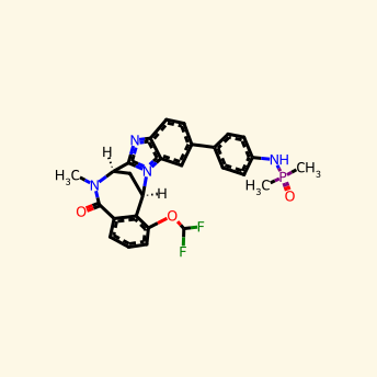 CN1C(=O)c2cccc(OC(F)F)c2[C@H]2C[C@@H]1c1nc3ccc(-c4ccc(NP(C)(C)=O)cc4)cc3n12